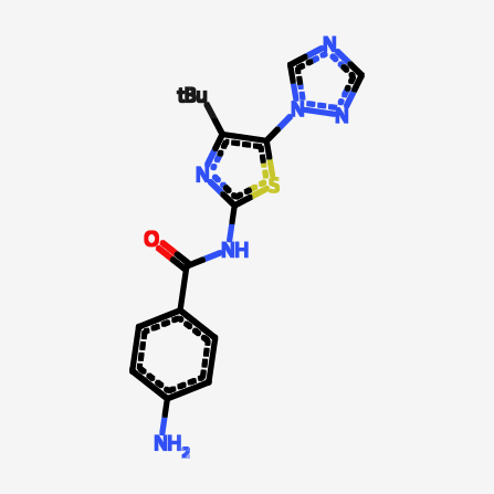 CC(C)(C)c1nc(NC(=O)c2ccc(N)cc2)sc1-n1cncn1